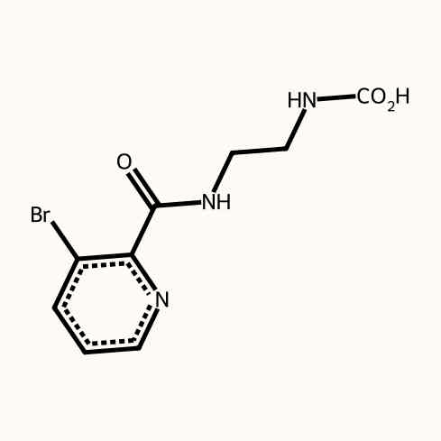 O=C(O)NCCNC(=O)c1ncccc1Br